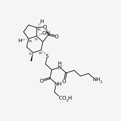 C[C@H]1C[C@H]2CC[C@H]3OC(=O)C([C@@H]1SCC(NC(=O)CCCN)C(=O)NCC(=O)O)[C@@]23O